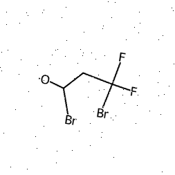 [O]C(Br)CC(F)(F)Br